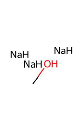 CO.[NaH].[NaH].[NaH]